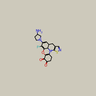 NC1CCN(C2=CC3Cc4cnsc4N4C5=C(OC(=C2F)C34)C(=O)C(=O)CC5)C1